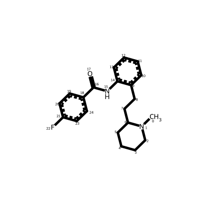 CN1CCCCC1CCc1ccccc1NC(=O)c1ccc(F)cc1